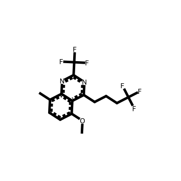 COc1ccc(C)c2nc(C(F)(F)F)nc(CCCC(F)(F)F)c12